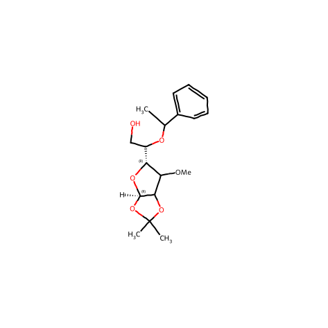 COC1C2OC(C)(C)O[C@H]2O[C@@H]1C(CO)OC(C)c1ccccc1